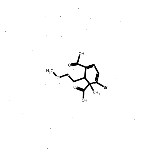 COCCC1C(C(=O)O)=CC=C(Br)C1(C)C(=O)O